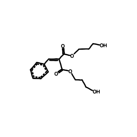 O=C(OCCCO)C(=Cc1ccccc1)C(=O)OCCCO